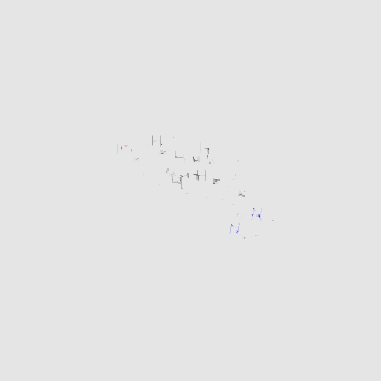 Cc1cnc(C[C@@H](C)[C@H]2CC[C@H]3[C@@H]4CC[C@@H]5C[C@](C)(O)CC[C@@H]5[C@H]4CC[C@]23C)nc1